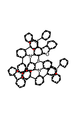 c1ccc(-c2cccc(-c3ccccc3)c2N2c3cc(N(c4ccccc4)c4ccccc4)ccc3B3c4c2cc(-n2c5ccccc5c5ccccc52)cc4N(c2c(-c4ccccc4)cccc2-c2ccccc2)c2cc(N(c4ccccc4)c4ccccc4)c4c(oc5ccccc54)c23)cc1